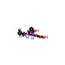 O=C(CC(NCc1ncc(-c2cc(Cl)ccc2Cl)o1)C(=O)Nc1ccccc1C(=O)O)NCCOCCOCCO